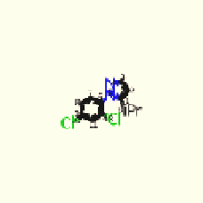 CC(C)c1ccnn1-c1ccc(Cl)cc1Cl